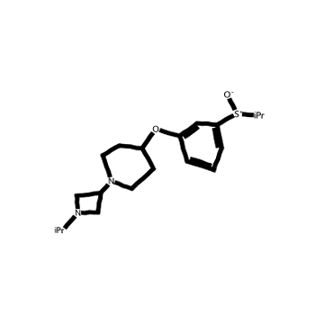 CC(C)N1CC(N2CCC(Oc3cccc([S+]([O-])C(C)C)c3)CC2)C1